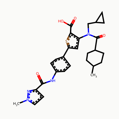 CC1CCC(C(=O)N(CC2CC2)c2cc(-c3ccc(NC(=O)c4ccn(C)n4)cc3)sc2C(=O)O)CC1